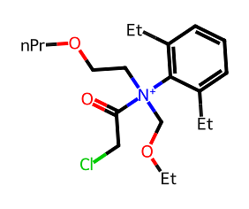 CCCOCC[N+](COCC)(C(=O)CCl)c1c(CC)cccc1CC